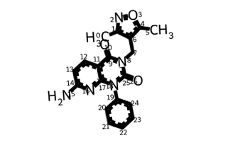 Cc1noc(C)c1Cn1c(=O)c2ccc(N)nc2n(-c2ccccc2)c1=O